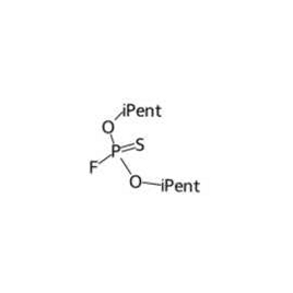 CCCC(C)OP(F)(=S)OC(C)CCC